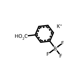 O=C(O)c1cccc([B-](F)(F)F)c1.[K+]